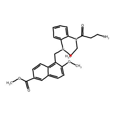 COC(=O)c1ccc2c(CN3c4ccccc4N(C(=O)CCN)CC3C)c(OC)ccc2c1